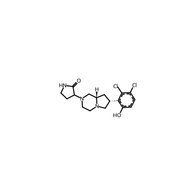 O=C1NCCC1N1CCN2C[C@@H](c3c(O)ccc(Cl)c3Cl)C[C@H]2C1